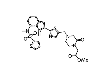 COC(=O)CN1CCN(Cc2cnc(-c3cc4cccc(N(C)S(=O)(=O)c5cccs5)c4[nH]3)s2)CC1=O